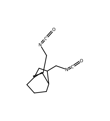 O=C=NCC1CC23CCCC1C2C(CN=C=O)C3